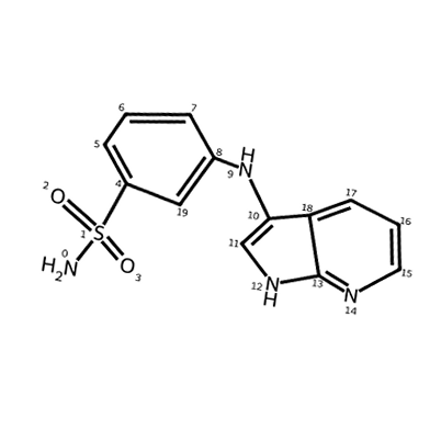 NS(=O)(=O)c1cccc(Nc2c[nH]c3ncccc23)c1